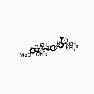 COc1cccc(C(O)(C(=O)N(C)CCCC2CCN(c3ccc(C(=O)N(C)C)c(C4CC4)n3)CC2)C(F)(F)F)c1